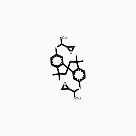 CCCCCCCCC(Oc1ccc2c(c1)C1(CC2(C)C)CC(C)(C)c2ccc(OC(CCCCCCCC)C3CO3)cc21)C1CO1